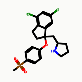 CS(=O)(=O)c1ccc(OC2(CC3CCCN3)CCc3c(Cl)cc(Cl)cc32)cc1